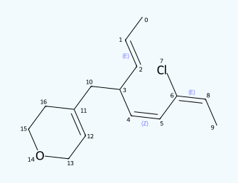 C/C=C/C(/C=C\C(Cl)=C/C)CC1=CCOCC1